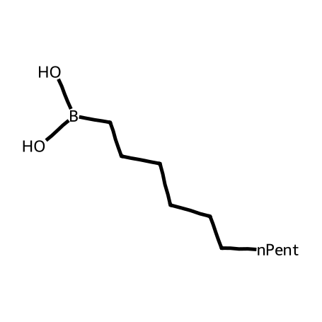 CCCCCCCCCCCB(O)O